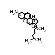 CC(C)CCC[C@@H](C)C1CC[C@H]2C3=CC=C4C[C@@H](N)CC[C@]4(C)C3CC[C@]12C